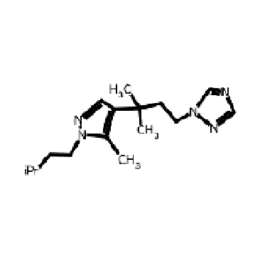 Cc1c(C(C)(C)CCn2cncn2)cnn1CCC(C)C